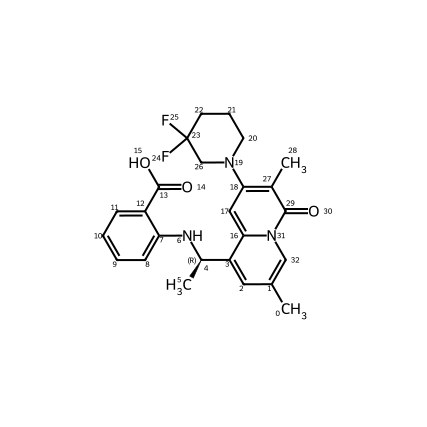 Cc1cc([C@@H](C)Nc2ccccc2C(=O)O)c2cc(N3CCCC(F)(F)C3)c(C)c(=O)n2c1